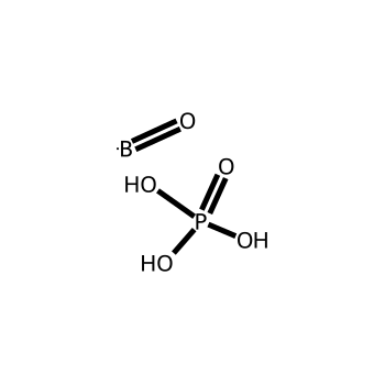 O=P(O)(O)O.[B]=O